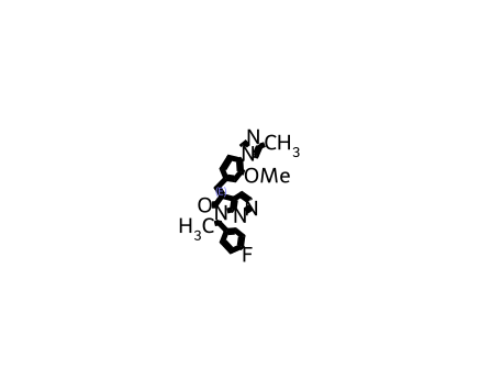 COc1cc(/C=C2/C(=O)N(C(C)c3ccc(F)cc3)c3nnccc32)ccc1-n1cnc(C)c1